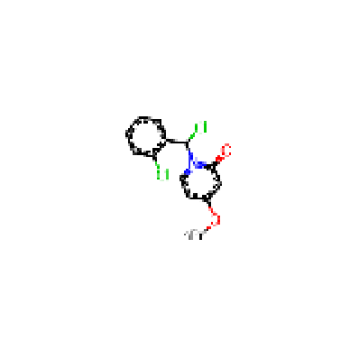 CCCOc1ccn(C(Cl)c2ccccc2Cl)c(=O)c1